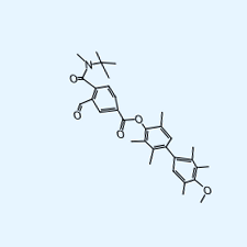 COc1c(C)cc(-c2cc(C)c(OC(=O)c3ccc(C(=O)N(C)C(C)(C)C)c(C=O)c3)c(C)c2C)c(C)c1C